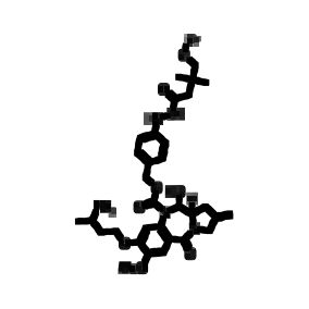 C=C1C[C@H]2[C@H](O)N(C(=O)OCc3ccc(NBC(=O)CC(C)(C)COC(C)C)cc3)c3cc(OCCC(C)P)c(OC)cc3C(=O)N2C1